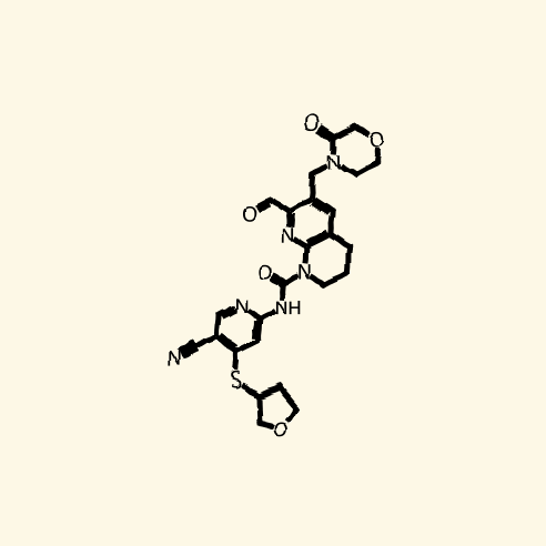 N#Cc1cnc(NC(=O)N2CCCc3cc(CN4CCOCC4=O)c(C=O)nc32)cc1SC1CCOC1